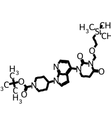 CC(C)(C)OC(=O)N1CCC(n2ccc3c(N4CCC(=O)N(COCC[Si](C)(C)C)C4=O)ccnc32)CC1